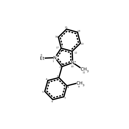 CCn1c(-c2ccccc2C)[n+](C)c2ccccc21